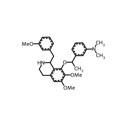 COc1cccc(CC2NCCc3cc(OC)c(OC)c(OC(C)c4cccc(N(C)C)c4)c32)c1